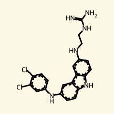 N=C(N)NCCNc1ccc2[nH]c3ccc(Nc4ccc(Cl)c(Cl)c4)cc3c2c1